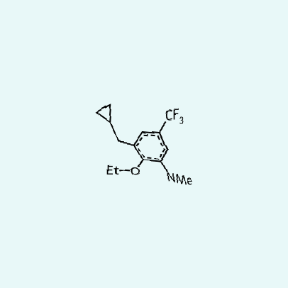 CCOc1c(CC2CC2)cc(C(F)(F)F)cc1NC